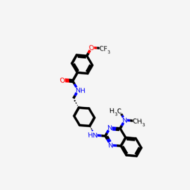 CN(C)c1nc(N[C@H]2CC[C@@H](CNC(=O)c3ccc(OC(F)(F)F)cc3)CC2)nc2ccccc12